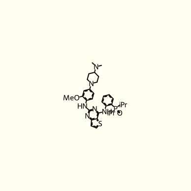 COc1cc(N2CCC(N(C)C)CC2)ccc1Nc1nc(Nc2ccccc2P(=O)(C(C)C)C(C)C)c2sccc2n1